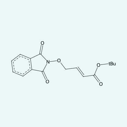 CC(C)(C)OC(=O)C=CCON1C(=O)c2ccccc2C1=O